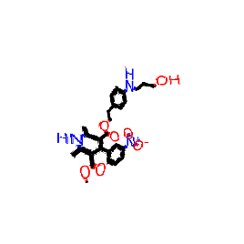 COC(=O)C1=C(C)NC(C)=C(C(=O)OCCc2ccc(NCCCO)cc2)C1c1cccc([N+](=O)[O-])c1